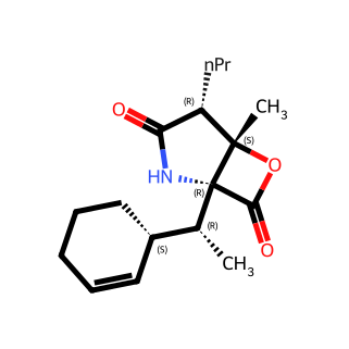 CCC[C@H]1C(=O)N[C@@]2([C@H](C)[C@@H]3C=CCCC3)C(=O)O[C@@]12C